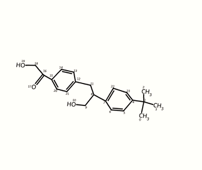 CC(C)(C)c1ccc(C(CO)Cc2ccc(C(=O)CO)cc2)cc1